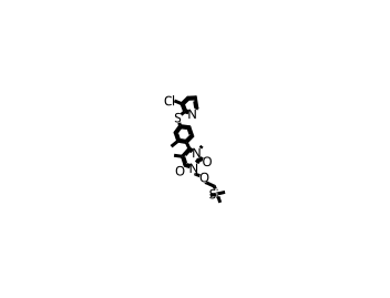 Cc1cc(Sc2ncccc2Cl)ccc1-c1c(C)c(=O)n(COCC[Si](C)(C)C)c(=O)n1C